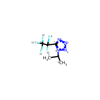 CC(C)n1nnnc1C(F)(F)C(F)(F)F